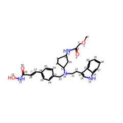 COCC(=O)NC1CCC(N(CCc2c[nH]c3ccccc23)Cc2ccc(/C=C/C(=O)NO)cc2)C1